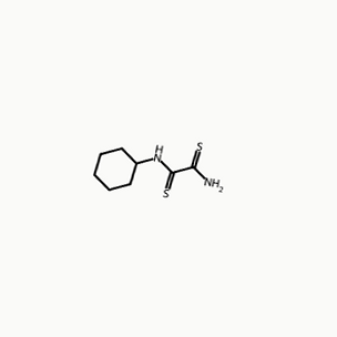 NC(=S)C(=S)NC1CCCCC1